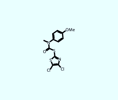 COc1ccc(N(C)C(=O)Sc2nc(Cl)c(Cl)s2)cc1